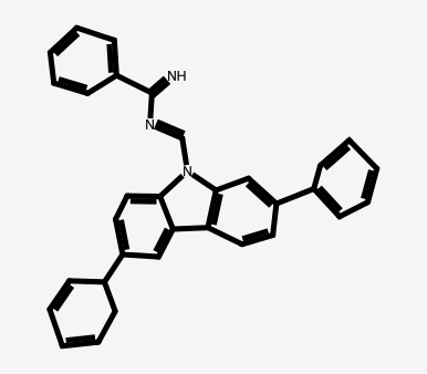 N=C(/N=C/n1c2ccc(C3C=CC=CC3)cc2c2ccc(-c3ccccc3)cc21)c1ccccc1